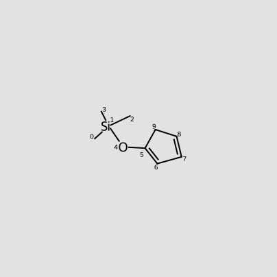 C[Si](C)(C)OC1=CC=CC1